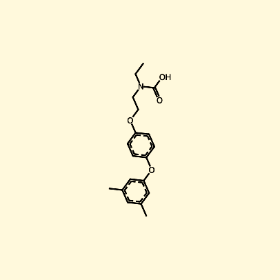 CCN(CCOc1ccc(Oc2cc(C)cc(C)c2)cc1)C(=O)O